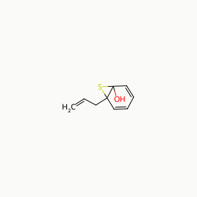 C=CCC12C=CC=CC1(O)S2